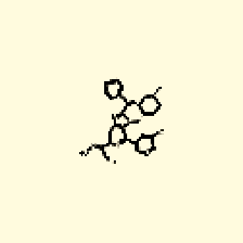 C=C(c1ccccc1)c1nc2cc(/C(N)=N/O)nc(-c3cncc(Cl)c3)c2n1C[C@H]1CC[C@H](C)CC1